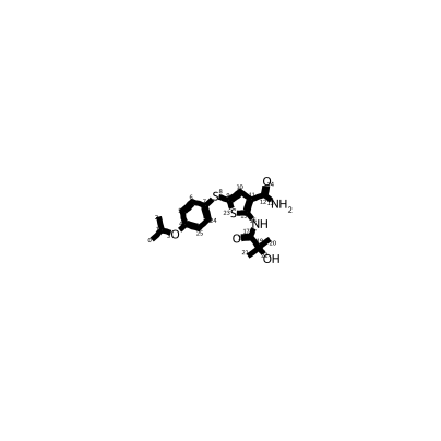 CC(C)Oc1ccc(Sc2cc(C(N)=O)c(NC(=O)C(C)(C)O)s2)cc1